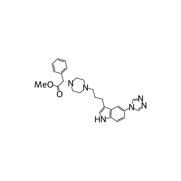 COC(=O)[C@H](c1ccccc1)N1CCN(CCCc2c[nH]c3ccc(-n4cnnc4)cc23)CC1